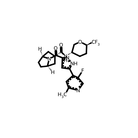 Cc1cc(-c2cc(C(=O)N3[C@@H]4CC[C@H]3C[C@H](C(=O)N[C@H]3CC[C@H](C(F)(F)F)OC3)C4)n[nH]2)c(F)cn1